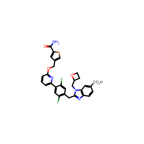 NC(=O)c1cc(COc2cccc(-c3cc(F)c(Cc4nc5ccc(C(=O)O)cc5n4CC4CCO4)cc3F)n2)cs1